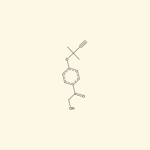 C#CC(C)(C)Oc1ccc(C(=O)CO)cc1